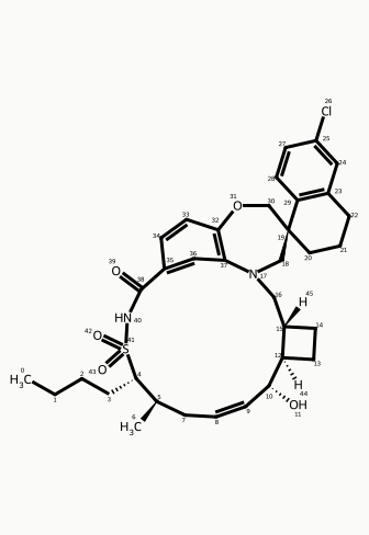 CCCC[C@H]1[C@H](C)C/C=C\[C@@H](O)[C@@H]2CC[C@H]2CN2C[C@@]3(CCCc4cc(Cl)ccc43)COc3ccc(cc32)C(=O)NS1(=O)=O